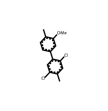 COc1cc(-c2cc(Cl)c(C)cc2Cl)ccc1C